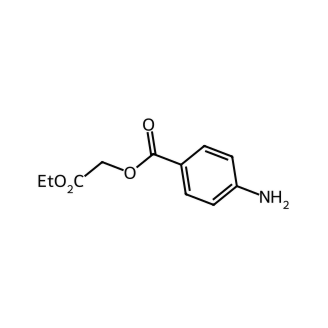 CCOC(=O)COC(=O)c1ccc(N)cc1